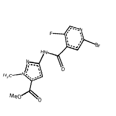 COC(=O)c1cc(NC(=O)c2cc(Br)ncc2F)nn1C